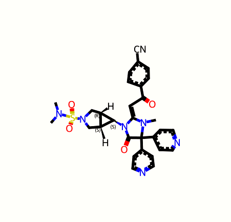 CN1C(=CC(=O)c2ccc(C#N)cc2)N([C@H]2[C@@H]3CN(S(=O)(=O)N(C)C)C[C@@H]32)C(=O)C1(c1ccncc1)c1ccncc1